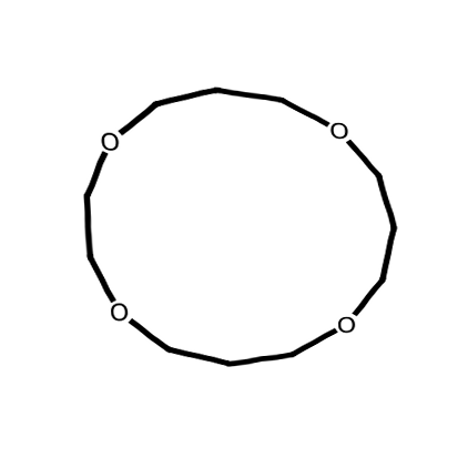 C1COCCCOCCOCCCOC1